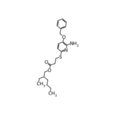 CCCCC(CC)COC(=O)CCSc1ccc(OCc2ccccc2)c(N)n1